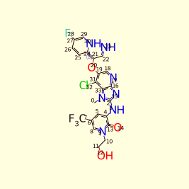 Cn1c(Nc2cc(C(F)(F)F)cn(CCO)c2=O)nc2ncc(O/C(C=N)=C3\C=CC(F)=CN3)c(Cl)c21